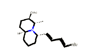 CCCC/C=C/C=C/[C@@H]1CCC[C@H]2CC[C@@H](OC(C)=O)[C@H](C)N21